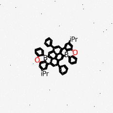 CC(C)c1cc2c3c(c1)-c1cc(-c4ccccc4)c4cc5c6c(cc(-c7ccccc7)c7cc(c1c4c76)B3c1ccccc1O2)-c1cc(C(C)C)cc2c1B5c1ccccc1O2